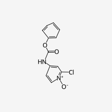 O=C(Nc1cc[n+]([O-])c(Cl)c1)Oc1ccccc1